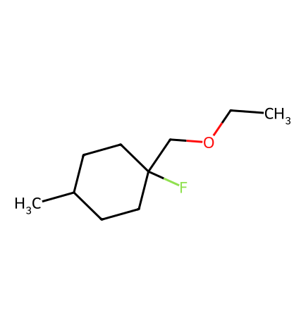 CCOCC1(F)CCC(C)CC1